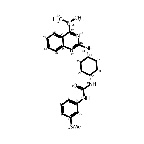 CSc1cccc(NC(=O)N[C@H]2CC[C@@H](Nc3nc(N(C)C)c4ccccc4n3)CC2)c1